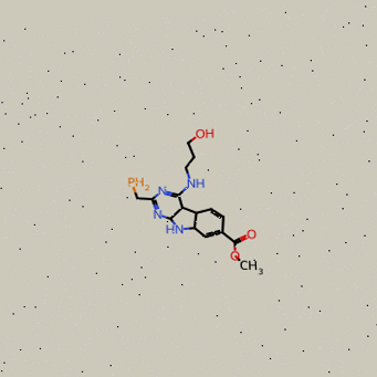 COC(=O)C1=CC2NC3N=C(CP)N=C(NCCCO)C3C2C=C1